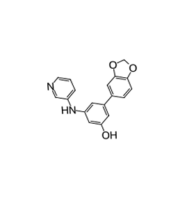 Oc1cc(Nc2cccnc2)cc(-c2ccc3c(c2)OCO3)c1